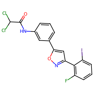 O=C(Nc1cccc(-c2cc(-c3c(F)cccc3I)no2)c1)C(Cl)Cl